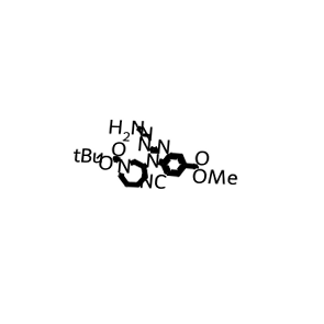 COC(=O)c1cc(C#N)c2c(c1)nc(N=NN)n2C1CCCCN(C(=O)OC(C)(C)C)C1